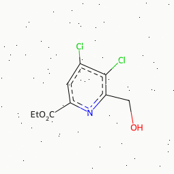 CCOC(=O)c1cc(Cl)c(Cl)c(CO)n1